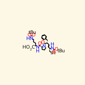 CC(C)C[C@@H](/C=C/[C@@H](Cc1ccccc1)C(=O)N1CCC[C@H]1C(=O)NC(CCCNC(=O)OC(C)(C)C)C(=O)O)NC(=O)OC(C)(C)C